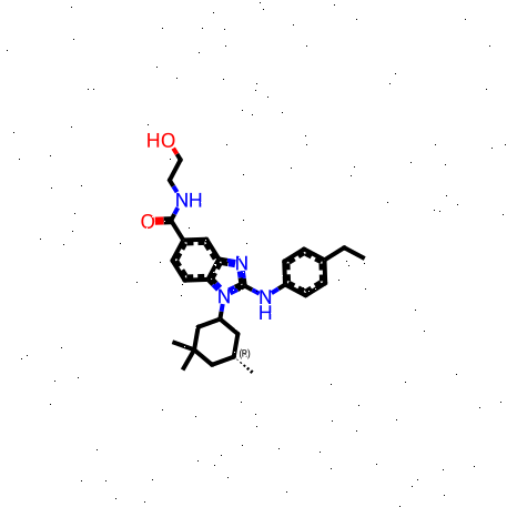 CCc1ccc(Nc2nc3cc(C(=O)NCCO)ccc3n2C2C[C@H](C)CC(C)(C)C2)cc1